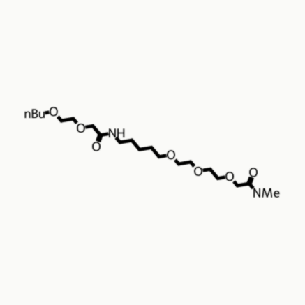 CCCCOCCOCC(=O)NCCCCCOCCOCCOCC(=O)NC